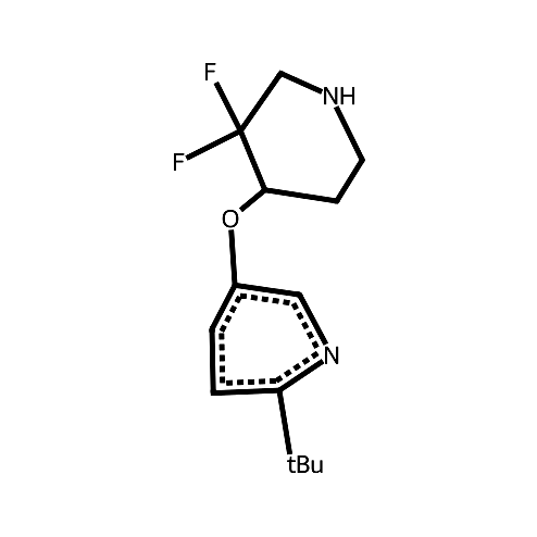 CC(C)(C)c1ccc(OC2CCNCC2(F)F)cn1